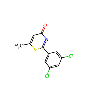 Cc1cc(=O)nc(-c2cc(Cl)cc(Cl)c2)s1